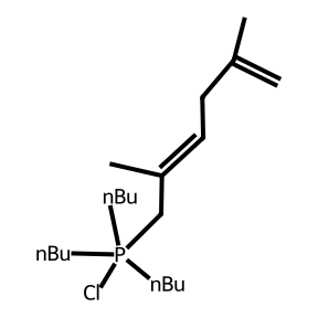 C=C(C)C/C=C(\C)CP(Cl)(CCCC)(CCCC)CCCC